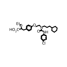 CCOC(Cc1ccc(OCCN(CCCC2CCCCC2)C(=O)Nc2ccc(Cl)cc2)cc1)C(=O)O